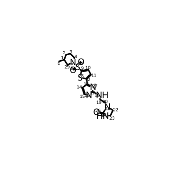 CC1CCCN(S(=O)(=O)c2ccc(-c3ccnc(NCCN4CCNC4=O)n3)s2)C1